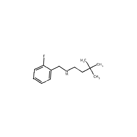 CC(C)(C)CCNCc1ccccc1F